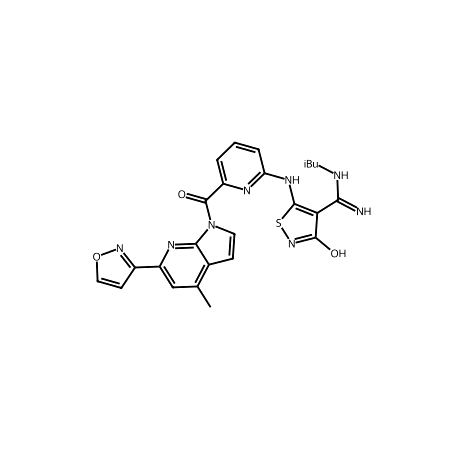 CCC(C)NC(=N)c1c(O)nsc1Nc1cccc(C(=O)n2ccc3c(C)cc(-c4ccon4)nc32)n1